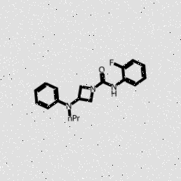 CCCN(c1ccccc1)C1CN(C(=O)Nc2ccccc2F)C1